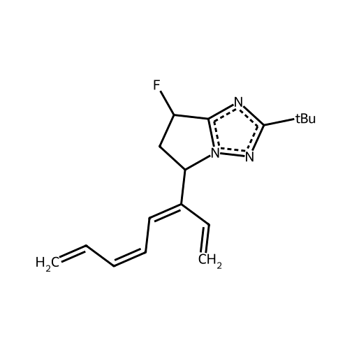 C=C/C=C\C=C(/C=C)C1CC(F)c2nc(C(C)(C)C)nn21